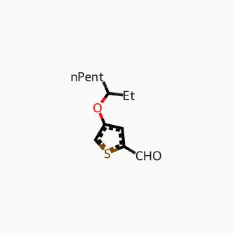 CCCCCC(CC)Oc1csc(C=O)c1